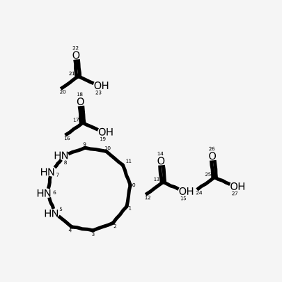 C1CCCCNNNNCCC1.CC(=O)O.CC(=O)O.CC(=O)O.CC(=O)O